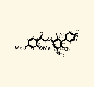 COc1ccc(C(=O)CSc2nc(N)c(C#N)c(-c3ccc(C)cc3)c2C#N)c(OC)c1